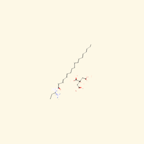 CCCCCCCCCCCCCCCCCC(=O)NC(CC)N(C)C.O=C(O)CC(O)(CC(=O)O)C(=O)O